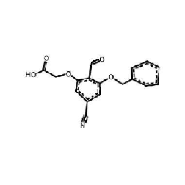 N#Cc1cc(OCC(=O)O)c(C=O)c(OCc2ccccc2)c1